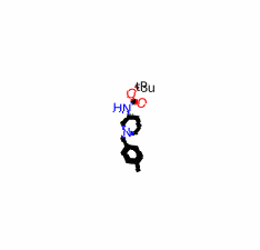 Cc1ccc(CN2CCC[C@@H](NC(=O)OC(C)(C)C)C2)cc1